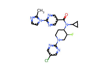 Cc1nccn1-c1ncc(C(=O)N(C2CC2)[C@@H]2CCN(c3ncc(Cl)cn3)C[C@@H]2F)cn1